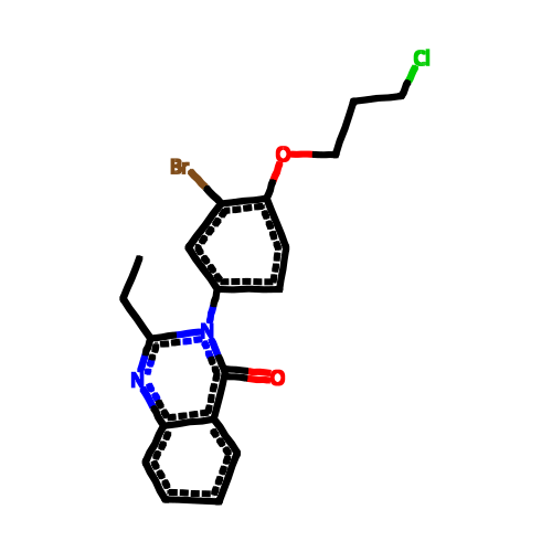 CCc1nc2ccccc2c(=O)n1-c1ccc(OCCCCl)c(Br)c1